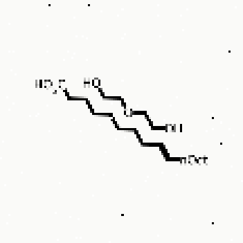 CCCCCCCCC=CCCCCCCCC(=O)O.OCCOCCO